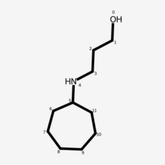 OCCCNC1CCCCCC1